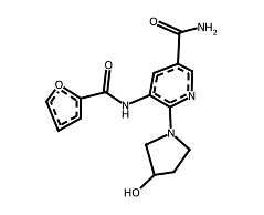 NC(=O)c1cnc(N2CCC(O)C2)c(NC(=O)c2ccco2)c1